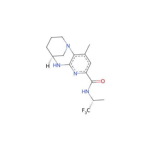 Cc1cc(C(=O)N[C@H](C)C(F)(F)F)nc2c1N1CCC[C@@H](C1)N2